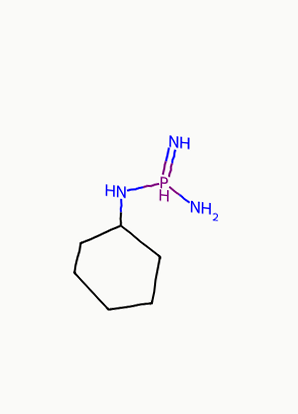 N=[PH](N)NC1CCCCC1